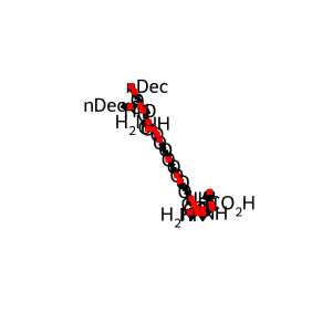 CCCCCCCCCCCCCCOCC(CNC(=O)CC[C@H](NC(=O)CCOCCOCCOCCOCCOCCOCCOCCOCCNC(=O)C=CC(=O)N(CC(N)=O)NC(=O)[C@H](C)NC(=O)[C@H](C)N(Cc1ccccc1)C(=O)O)C(N)=O)OCCCCCCCCCCCCCC